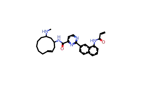 C=CC(=O)Nc1cccc2ccc(-c3nccc(C(=O)NC4C/C=C/CCCCCC(NC)C4)n3)cc12